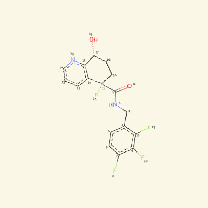 O=C(NCc1ccc(F)c(F)c1F)[C@]1(F)CC[C@@H](O)c2ncccc21